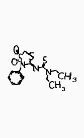 CCN(CC)C(=S)/N=C1\SCS(=O)(=O)N1c1ccccc1